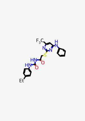 CCc1ccc(NC(=O)NC(=O)CSc2nc(Nc3ccccc3)cc(C(F)(F)F)n2)cc1